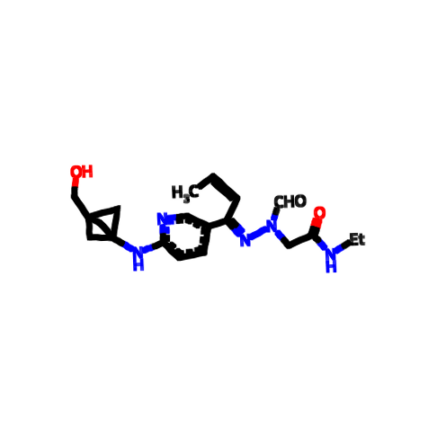 C/C=C\C(=N/N(C=O)CC(=O)NCC)c1ccc(NC23CC(CO)(C2)C3)nc1